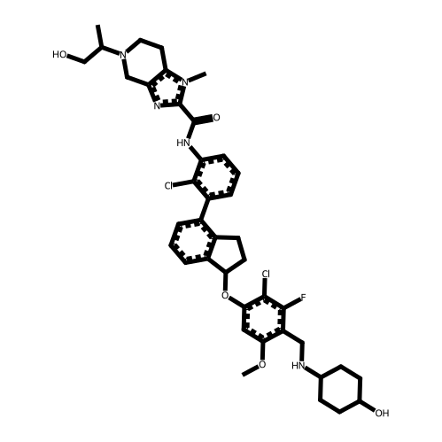 COc1cc(OC2CCc3c(-c4cccc(NC(=O)c5nc6c(n5C)CCN(C(C)CO)C6)c4Cl)cccc32)c(Cl)c(F)c1CNC1CCC(O)CC1